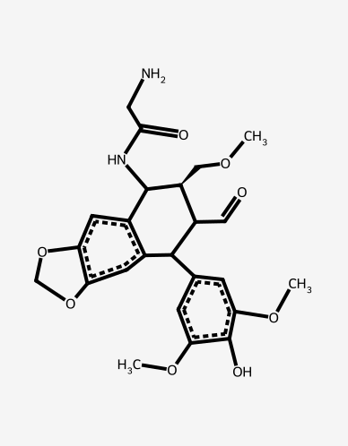 COC[C@@H]1C(NC(=O)CN)c2cc3c(cc2C(c2cc(OC)c(O)c(OC)c2)C1C=O)OCO3